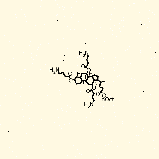 CCCCCCCCOC(=O)CCC(C)C1CC[C@H]2[C@@H]3[C@H](OC(=O)CCCN)C[C@@H]4C[C@H](OC(=O)CCCN)CC[C@]4(C)[C@H]3C[C@H](OC(=O)CCCN)[C@]12C